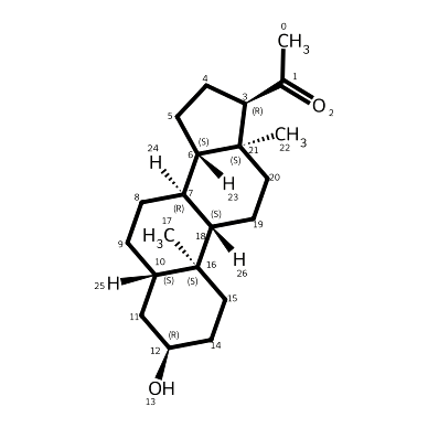 CC(=O)[C@@H]1CC[C@H]2[C@@H]3CC[C@H]4C[C@H](O)CC[C@]4(C)[C@H]3CC[C@]12C